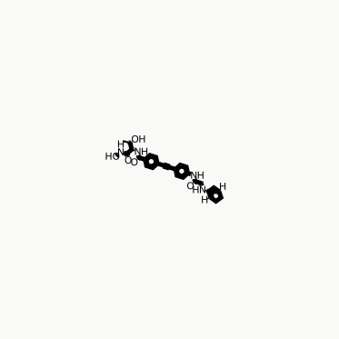 C[C@@H](O)[C@H](NC(=O)c1ccc(C#Cc2ccc(NC(=O)CN[C@@H]3C[C@H]4CC[C@@H]3C4)cc2)cc1)C(=O)NO